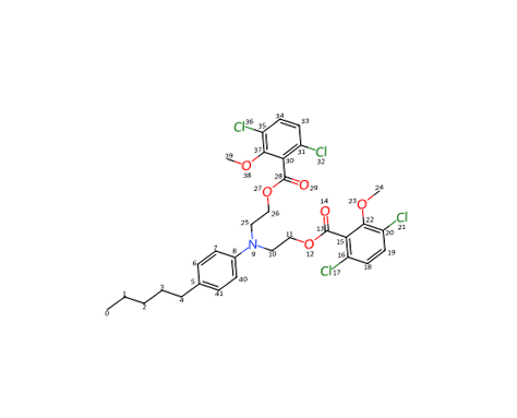 CCCCCc1ccc(N(CCOC(=O)c2c(Cl)ccc(Cl)c2OC)CCOC(=O)c2c(Cl)ccc(Cl)c2OC)cc1